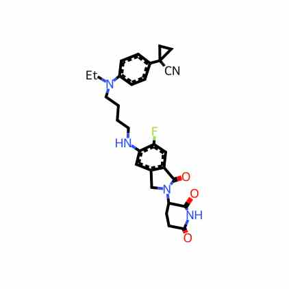 CCN(CCCCNc1cc2c(cc1F)C(=O)N(C1CCC(=O)NC1=O)C2)c1ccc(C2(C#N)CC2)cc1